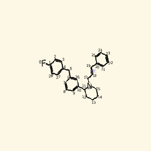 Fc1ccc(Cc2cccc(C3CCCCN3C/C=C/c3ccccc3)c2)cc1